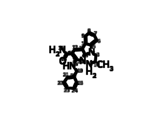 C[C@H](N)Cn1c2ccccc2c2cc(C(N)=O)c(NCc3ccccc3)nc21